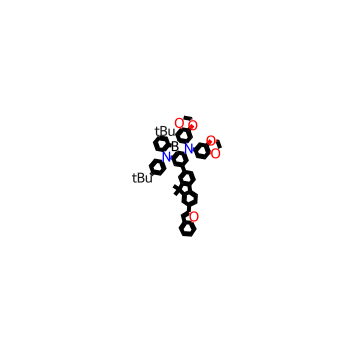 CC(C)(C)c1ccc(N2c3ccc(C(C)(C)C)cc3B3c4cc5c(cc4N(c4ccc6c(c4)OCCO6)c4cc(-c6ccc7c(c6)C(C)(C)c6cc(-c8cc9ccccc9o8)ccc6-7)cc2c43)OCCO5)cc1